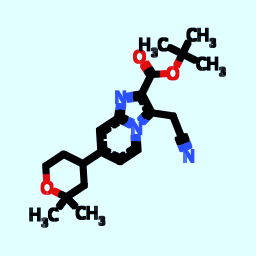 CC(C)(C)OC(=O)c1nc2cc(C3CCOC(C)(C)C3)ccn2c1CC#N